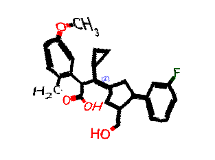 [CH2]c1ccc(OC)cc1C(C(=O)O)/C(=C1\CC(CO)C(c2cccc(F)c2)C1)C1CC1